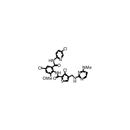 CNc1ccnc(NCc2csc(C(=O)Nc3c(OC)cc(Cl)cc3C(=O)Nc3ccc(Cl)cn3)c2Cl)n1